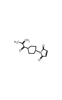 C=C(C)C(=O)C1CCC(N2C(=O)C=CC2=O)CC1